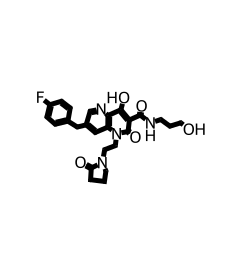 O=C(NCCCO)c1c(O)c2ncc(Cc3ccc(F)cc3)cc2n(CCN2CCCC2=O)c1=O